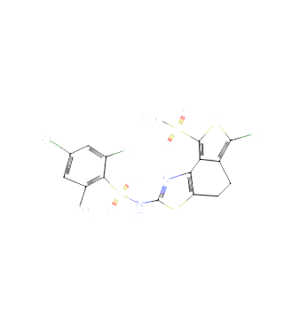 Cc1cc(Cl)cc(Cl)c1S(=O)(=O)Nc1nc2c(s1)CCc1c(Cl)sc(S(C)(=O)=O)c1-2